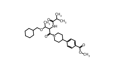 COC(=O)c1ccc(C2CCN(C(=O)C(NC(=O)C(C)C)C(C)OCC3CCCCC3)CC2)cc1